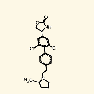 C[C@@H]1CCCN1CCc1ccc(-c2c(Cl)cc([C@@H]3COC(=O)N3)cc2Cl)cc1